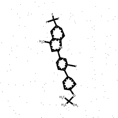 Cc1cc(-c2ccc(-c3ccc(OC(C)(C)C)cc3)c(F)c2)nc2ccc(C(F)(F)F)cc12